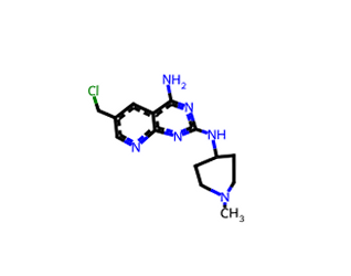 CN1CCC(Nc2nc(N)c3cc(CCl)cnc3n2)CC1